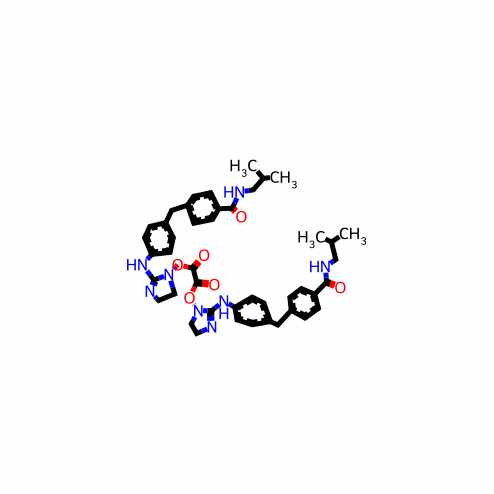 CC(C)CNC(=O)c1ccc(Cc2ccc(NC3=NCCN3OC(=O)C(=O)ON3CCN=C3Nc3ccc(Cc4ccc(C(=O)NCC(C)C)cc4)cc3)cc2)cc1